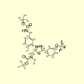 CCN(C(=O)OC(C)(C)C)[C@H](Cc1ccc(CNC(=O)OC(C)(C)C)cc1)c1nnc(-c2cccc(OC(F)(F)F)c2)s1